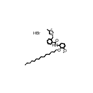 Br.CCCCCCCCCCCCCCOc1c(NC(=O)c2ccccc2CN2C=C(C)SC2)cccc1OC